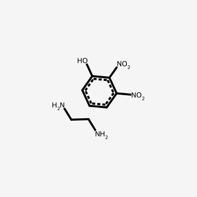 NCCN.O=[N+]([O-])c1cccc(O)c1[N+](=O)[O-]